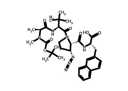 C[C@@H](C(=O)N[C@H](C(=O)N1CC[C@@H](N=[N+]=[N-])[C@H]1C(=O)N[C@@H](Cc1ccc2ccccc2c1)C(=O)O)C(C)(C)C)N(C)C(=O)OC(C)(C)C